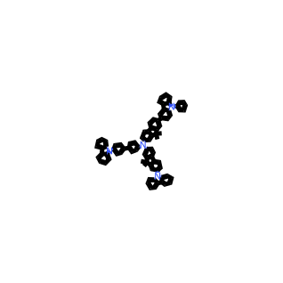 CC1(C)c2cc(-c3ccc4c(c3)c3ccccc3n4-c3ccccc3)ccc2-c2ccc(N(c3ccc(-c4ccc(-n5c6ccccc6c6ccccc65)cc4)cc3)c3ccc4c(c3)C(C)(C)c3cc(-n5c6ccccc6c6ccccc65)ccc3-4)cc21